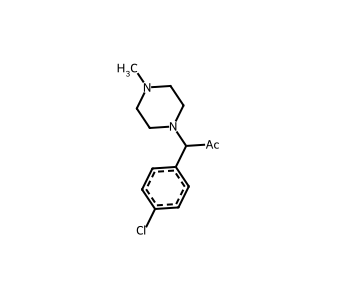 CC(=O)C(c1ccc(Cl)cc1)N1CCN(C)CC1